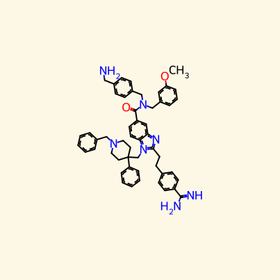 COc1cccc(CN(Cc2ccc(CN)cc2)C(=O)c2ccc3c(c2)nc(CCc2ccc(C(=N)N)cc2)n3CC2(c3ccccc3)CCN(Cc3ccccc3)CC2)c1